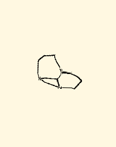 C1CN2CCCN3C2N3C1